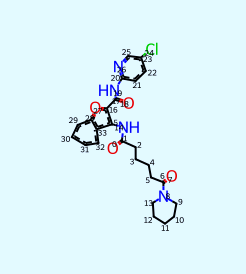 O=C(CCCCC(=O)N1CCCCC1)Nc1c(C(=O)Nc2ccc(Cl)cn2)oc2ccccc12